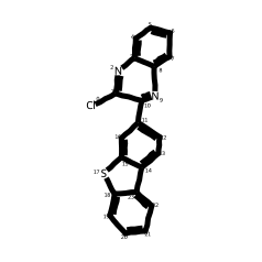 Clc1nc2ccccc2nc1-c1ccc2c(c1)sc1ccccc12